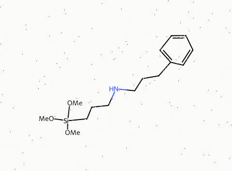 CO[Si](CCCNCCCc1ccccc1)(OC)OC